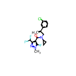 C=C(CN(C(=O)c1c(C(F)F)nn(C)c1F)C1CC1)c1cccc(Cl)c1